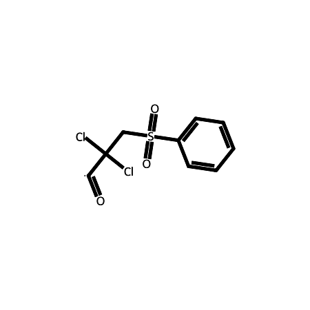 O=[C]C(Cl)(Cl)CS(=O)(=O)c1ccccc1